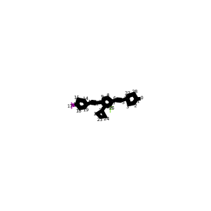 Cc1ccc(C#Cc2ccc(C#Cc3ccc(I)cc3)c(C3CCC3)c2F)cc1